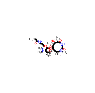 CCC(=O)NCCCO[C@H]1[C@H](O[C@@H]2[C@@H](C)[C@H](O)[C@@H](C)C(=O)NCC(=O)N(C)C[C@H](C)C[C@@]2(C)O)O[C@H](C)C[C@@H]1N(C)C